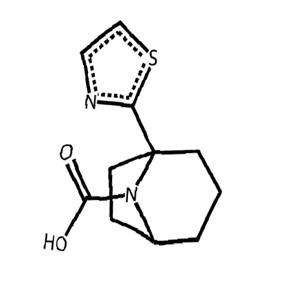 O=C(O)N1C2CCCC1(c1nccs1)CC2